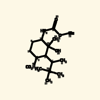 CC(C1N(C(=O)O)CCC(NC(=O)OC(C)(C)C)C1(C)O)[Si](C)(C)C